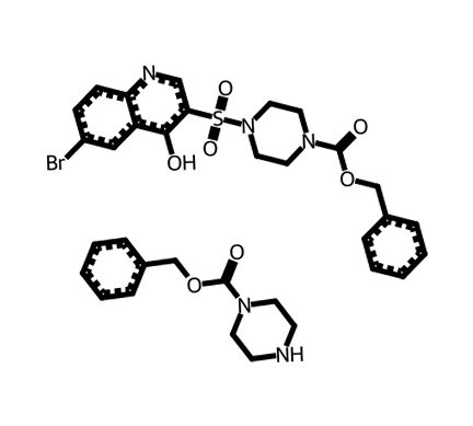 O=C(OCc1ccccc1)N1CCN(S(=O)(=O)c2cnc3ccc(Br)cc3c2O)CC1.O=C(OCc1ccccc1)N1CCNCC1